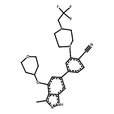 Cc1n[nH]c2cc(-c3ccc(C#N)c(N4CCN(CC(F)(F)F)CC4)c3)cc(OC3CCOCC3)c12